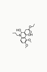 CCCN1c2ccc(OC)c(OC)c2C(O)=C(CC(=O)OCC)C1O